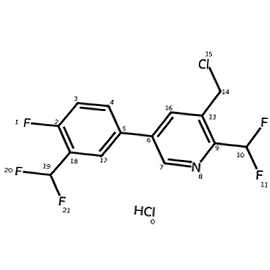 Cl.Fc1ccc(-c2cnc(C(F)F)c(CCl)c2)cc1C(F)F